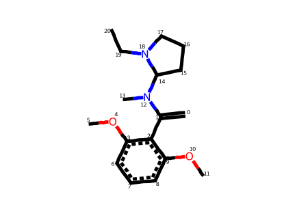 C=C(c1c(OC)cccc1OC)N(C)C1CCCN1CC